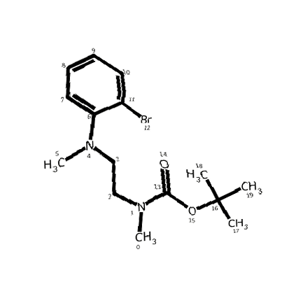 CN(CCN(C)c1ccccc1Br)C(=O)OC(C)(C)C